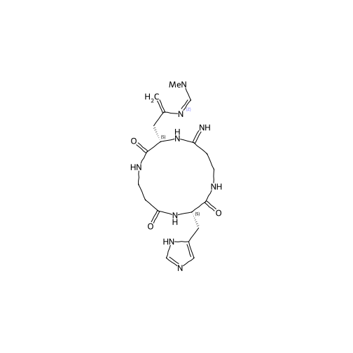 C=C(C[C@@H]1NC(=N)CCNC(=O)[C@H](Cc2cnc[nH]2)NC(=O)CCNC1=O)/N=C\NC